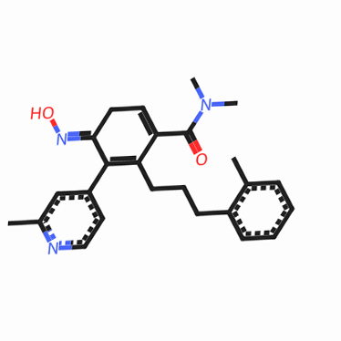 Cc1cc(C2=C(CCCc3ccccc3C)C(C(=O)N(C)C)=CC/C2=N\O)ccn1